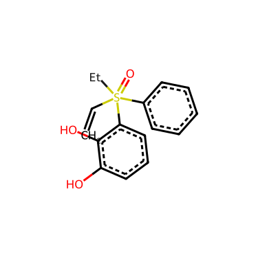 C=CS(=O)(CC)(c1ccccc1)c1cccc(O)c1O